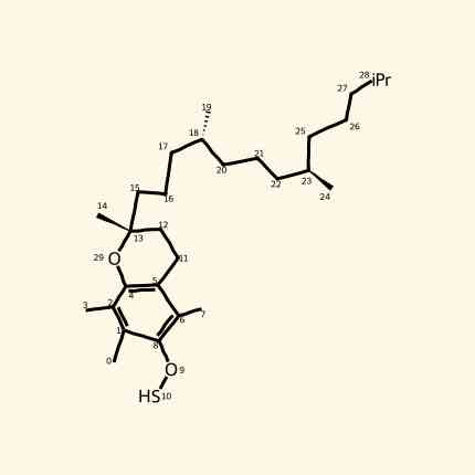 Cc1c(C)c2c(c(C)c1OS)CC[C@@](C)(CCC[C@H](C)CCC[C@H](C)CCCC(C)C)O2